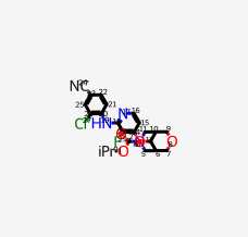 CC(C)OC(=O)N1CC2COCC(C1)C2Oc1ccnc(Nc2ccc(C#N)cc2Cl)c1F